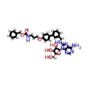 Nc1ncnc2c1nc(NCc1cccc(-c3ccc(OCCCNC(=O)OCc4ccccc4)cc3)c1)n2[C@@H]1O[C@H](CO)[C@@H](O)[C@H]1O